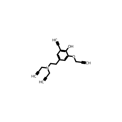 C#CCOc1cc(CCN(CC#C)CC#C)cc(C#C)c1O